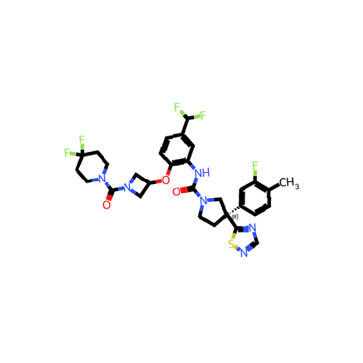 Cc1ccc([C@]2(c3ncns3)CCN(C(=O)Nc3cc(C(F)F)ccc3OC3CN(C(=O)N4CCC(F)(F)CC4)C3)C2)cc1F